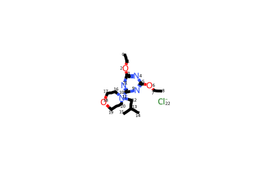 CCOc1nc(OCC)nc([N+]2(CC(C)C)CCOCC2)n1.[Cl-]